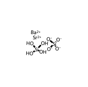 O[Si](O)(O)O.[Ba+2].[O-][Si]([O-])([O-])[O-].[Sr+2]